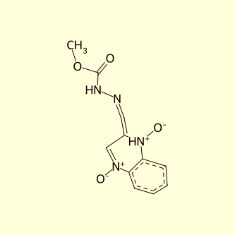 COC(=O)NN=C=C1C=[N+]([O-])c2ccccc2[NH+]1[O-]